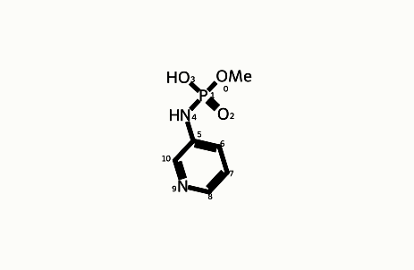 COP(=O)(O)Nc1cccnc1